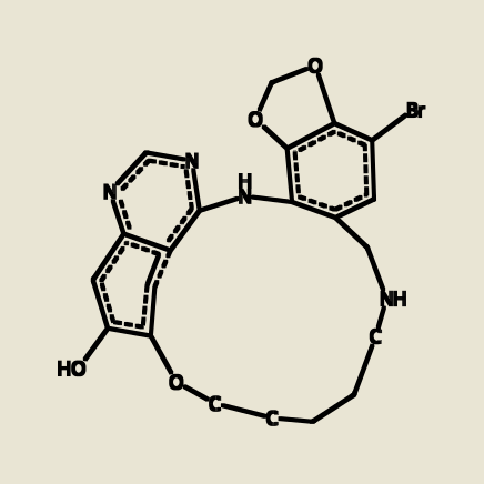 Oc1cc2ncnc3c2cc1OCCCCCNCc1cc(Br)c2c(c1N3)OCO2